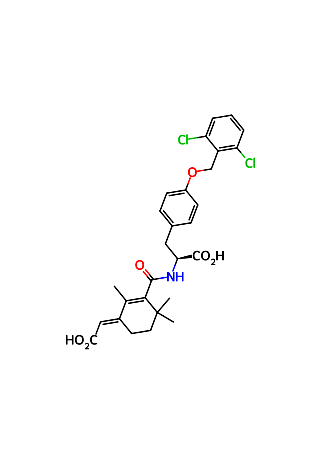 CC1=C(C(=O)N[C@@H](Cc2ccc(OCc3c(Cl)cccc3Cl)cc2)C(=O)O)C(C)(C)CC/C1=C\C(=O)O